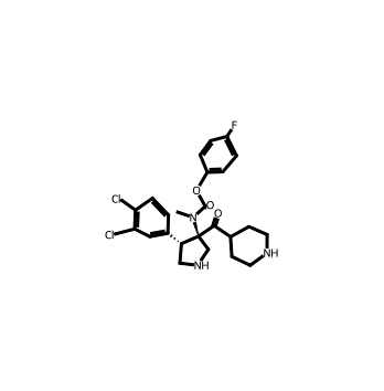 CN(C(=O)Oc1ccc(F)cc1)[C@@]1(C(=O)C2CCNCC2)CNC[C@@H]1c1ccc(Cl)c(Cl)c1